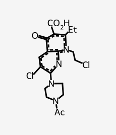 CCc1c(C(=O)O)c(=O)c2cc(Cl)c(N3CCN(C(C)=O)CC3)nc2n1CCCl